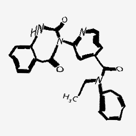 CCN(C(=O)c1ccnc(-n2c(=O)[nH]c3ccccc3c2=O)c1)c1ccccc1